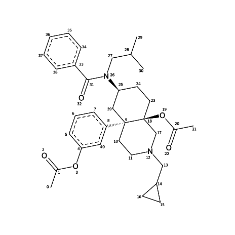 CC(=O)Oc1cccc([C@@]23CCN(CC4CC4)C[C@@]2(OC(C)=O)CC[C@H](N(CC(C)C)C(=O)c2ccccc2)C3)c1